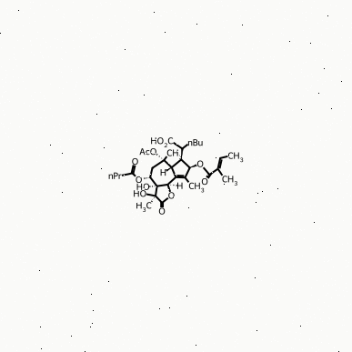 CC=C(C)C(=O)O[C@H]1C(C)=C2[C@H]3OC(=O)[C@@](C)(O)[C@@]3(O)[C@H](OC(=O)CCC)C[C@](C)(OC(C)=O)[C@@H]2[C@H]1C(CCCC)C(=O)O